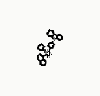 c1ccc(-n2c(-c3ccc(-n4c5ccccc5c5ccccc54)cc3)nnc2-c2cccc3ccccc23)cc1